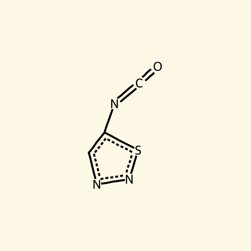 O=C=Nc1cnns1